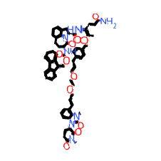 C[C@@H](OCc1ccc(CCCOCCOCCCc2cccc3c2n(C)c(=O)n3C2CCC(=O)N(C)C2=O)cc1)[C@H](CCC(N)=O)NC(=O)[C@@H]1Cc2cccc3c2N1C(=O)[C@@H](NC(=O)OCC1c2ccccc2-c2ccccc21)CC3